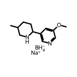 COc1cncc(C2CCC(C)CN2)c1.[BH4-].[Na+]